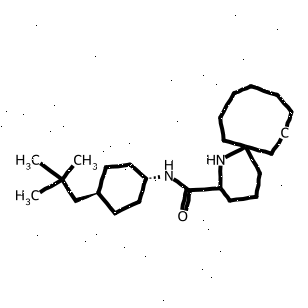 CC(C)(C)C[C@H]1CC[C@H](NC(=O)C2CCCC3(CCCCCCCC3)N2)CC1